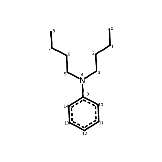 CCCCN(CCCC)c1ccccc1